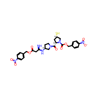 N=C(CC(=O)OCc1ccc([N+](=O)[O-])cc1)N[C@H]1CCN(C(=O)[C@@H]2C[C@H](S)CN2C(=O)OCc2ccc([N+](=O)[O-])cc2)C1